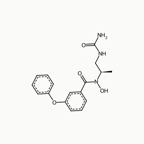 C[C@H](CNC(N)=O)N(O)C(=O)c1cccc(Oc2ccccc2)c1